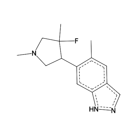 Cc1cc2cn[nH]c2cc1C1CN(C)CC1(C)F